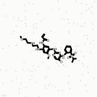 C=CC(=O)Nc1cc(Nc2ncc(Cl)c(Nc3ccccc3S(=O)(=O)C(C)C)n2)c(OC)cc1NCCNCCOC